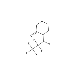 O=C1CCCCC1C(F)C(F)(F)C(F)(F)F